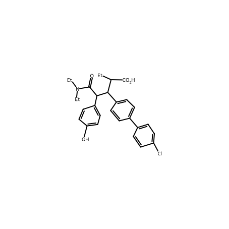 CCC(C(=O)O)C(c1ccc(-c2ccc(Cl)cc2)cc1)C(C(=O)N(CC)CC)c1ccc(O)cc1